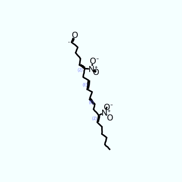 CCCCC/C=C(/C/C=C/C/C=C/C/C(=C/CCC[C]=O)[N+](=O)[O-])[N+](=O)[O-]